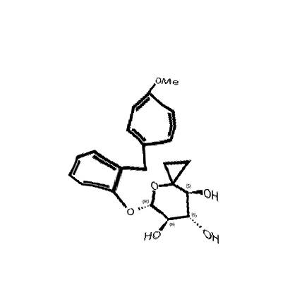 COc1ccc(Cc2ccccc2O[C@@H]2OC3(CC3)[C@@H](O)[C@H](O)[C@H]2O)cc1